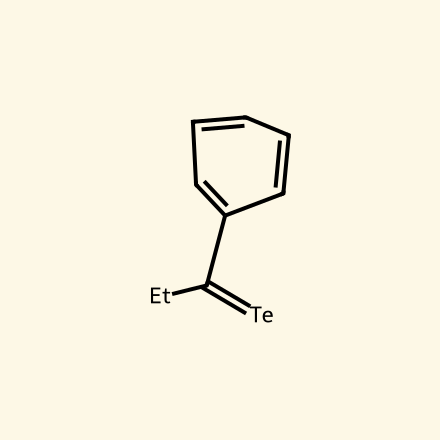 CCC(=[Te])c1ccccc1